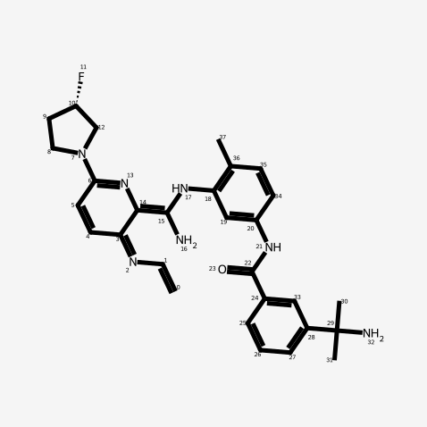 C=C/N=C1/C=CC(N2CC[C@H](F)C2)=N/C1=C(/N)Nc1cc(NC(=O)c2cccc(C(C)(C)N)c2)ccc1C